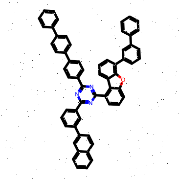 c1ccc(-c2ccc(-c3ccc(-c4nc(-c5cccc(-c6ccc7ccccc7c6)c5)nc(-c5cccc6oc7c(-c8cccc(-c9ccccc9)c8)cccc7c56)n4)cc3)cc2)cc1